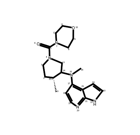 C[C@@H]1CCN(C(=O)N2CCOCC2)CC1N(C)c1ccnc2[nH]ccc12